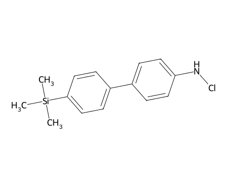 C[Si](C)(C)c1ccc(-c2ccc(NCl)cc2)cc1